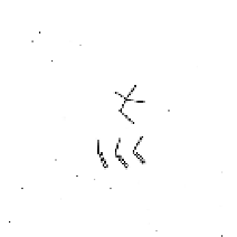 C=CC.C=CC.C=CC.CCC(C)(C)C